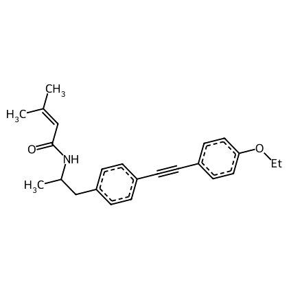 CCOc1ccc(C#Cc2ccc(CC(C)NC(=O)C=C(C)C)cc2)cc1